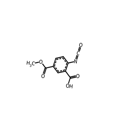 COC(=O)c1ccc(N=C=O)c(C(=O)O)c1